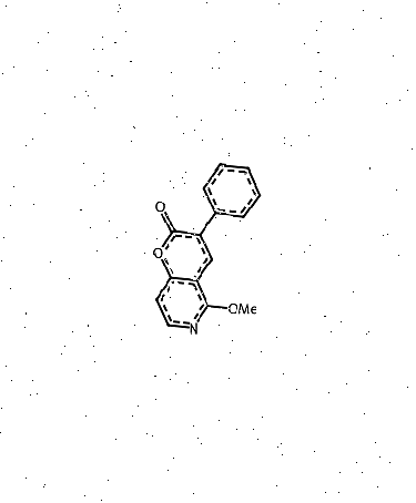 COc1nccc2oc(=O)c(-c3ccccc3)cc12